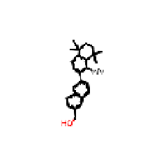 CCCc1c(-c2ccc3cc(CO)ccc3c2)ccc2c1C(C)(C)CCC2(C)C